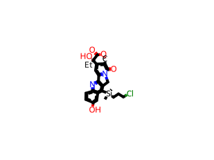 CC[C@@]1(O)C(=O)OCc2c1cc1n(c2=O)Cc2c-1nc1ccc(O)cc1c2[Si](C)(C)CCCCl